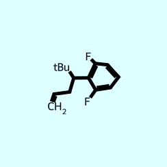 C=CCC(c1c(F)cccc1F)C(C)(C)C